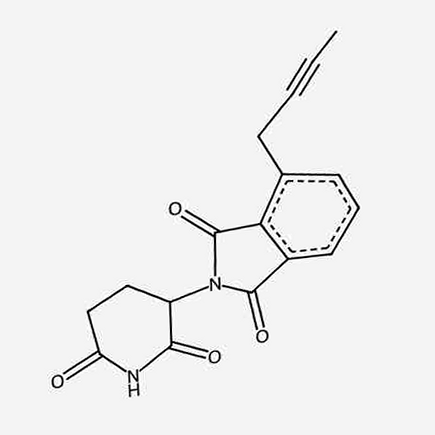 CC#CCc1cccc2c1C(=O)N(C1CCC(=O)NC1=O)C2=O